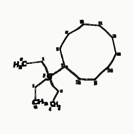 CC[Si](CC)(CC)[C]1CCCCCCCCC1